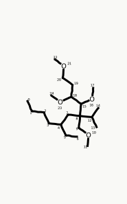 CCCCC(CC)CC(COC)(C(C)C)C(OC)C(CCOC)OC